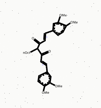 CCCCCCCCC(C(=O)/C=C/c1ccc(OC)c(OC)c1)C(=O)/C=C/c1ccc(OC)c(OC)c1